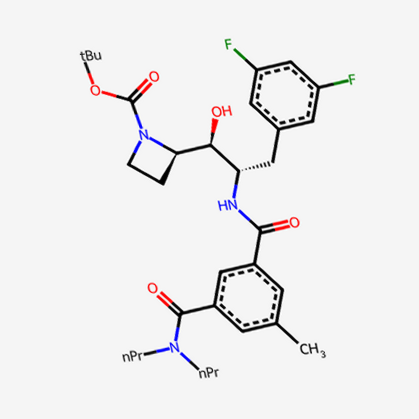 CCCN(CCC)C(=O)c1cc(C)cc(C(=O)N[C@@H](Cc2cc(F)cc(F)c2)[C@H](O)[C@H]2CCN2C(=O)OC(C)(C)C)c1